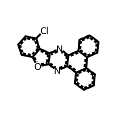 Clc1cccc2oc3nc4c5ccccc5c5ccccc5c4nc3c12